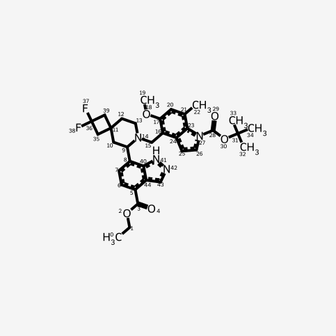 CCOC(=O)c1ccc(C2CC3(CCN2Cc2c(OC)cc(C)c4c2ccn4C(=O)OC(C)(C)C)CC(F)(F)C3)c2[nH]ncc12